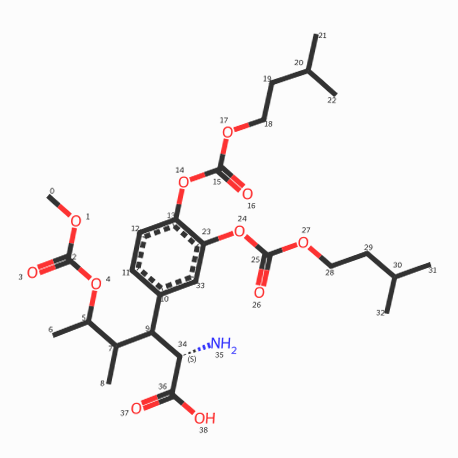 COC(=O)OC(C)C(C)C(c1ccc(OC(=O)OCCC(C)C)c(OC(=O)OCCC(C)C)c1)[C@H](N)C(=O)O